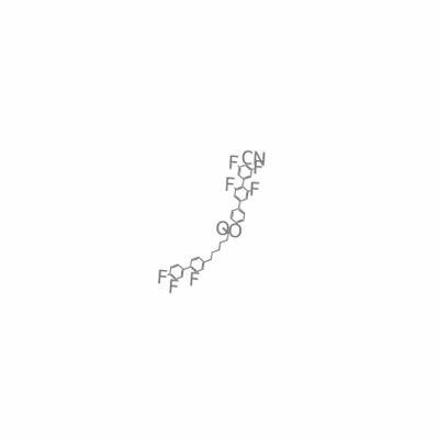 N#Cc1c(F)cc(-c2c(F)cc(-c3ccc(OC(=O)CCCCCc4ccc(-c5ccc(F)c(F)c5)c(F)c4)cc3)cc2F)cc1F